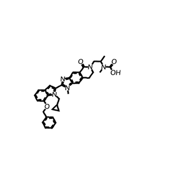 CC(CN1CCc2cc3c(cc2C1=O)nc(-c1cc2cccc(OCc4ccccc4)c2n1CC1CC1)n3C)N(C)C(=O)O